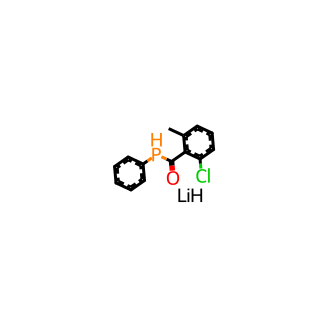 Cc1cccc(Cl)c1C(=O)Pc1ccccc1.[LiH]